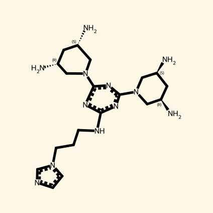 N[C@@H]1C[C@H](N)CN(c2nc(NCCCn3ccnc3)nc(N3C[C@H](N)C[C@H](N)C3)n2)C1